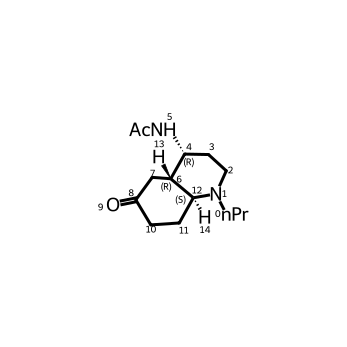 CCCN1CC[C@@H](NC(C)=O)[C@H]2CC(=O)CC[C@@H]21